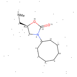 CNC[C@@H]1CN(C2CCCCCCC2)C(=O)O1